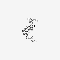 C=CC(=O)N1CCC[C@@H](n2nc(C(=O)Nc3cc(F)c(CC(=O)N(C)C)cc3Cl)c3c(N)ncnc32)C1